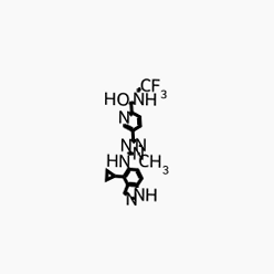 Cn1nc(-c2ccc(C(O)NCC(F)(F)F)nc2)nc1Nc1ccc2[nH]ncc2c1C1CC1